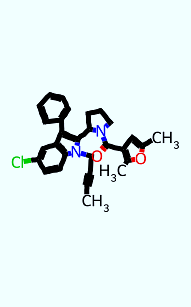 CC#CCn1c(C2CCCN2C(=O)c2cc(C)oc2C)c(-c2ccccc2)c2cc(Cl)ccc21